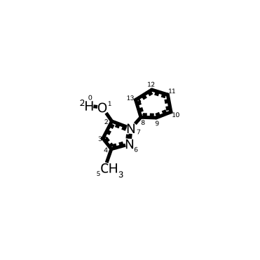 [2H]Oc1cc(C)nn1-c1ccccc1